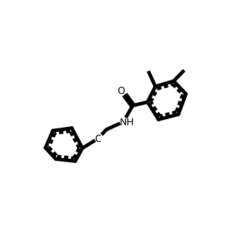 Cc1cccc(C(=O)NCCc2ccccc2)c1C